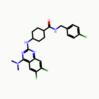 CN(C)c1nc(NC2CCC(C(=O)NCc3ccc(Br)cc3)CC2)nc2cc(F)c(F)cc12